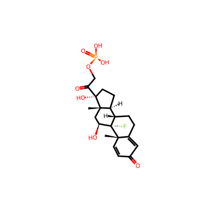 C[C@]12C=CC(=O)C=C1CC[C@H]1[C@@H]3CC[C@](O)(C(=O)COP(=O)(O)O)[C@@]3(C)C[C@H](O)[C@@]12F